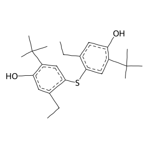 CCc1cc(O)c(C(C)(C)C)cc1Sc1cc(C(C)(C)C)c(O)cc1CC